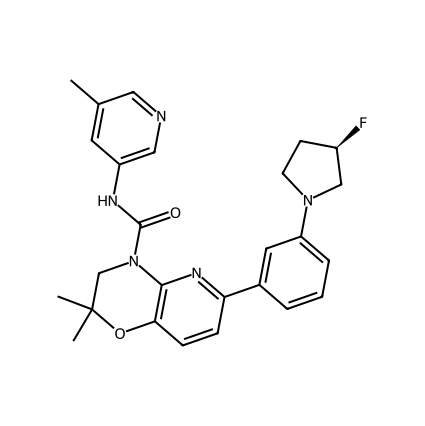 Cc1cncc(NC(=O)N2CC(C)(C)Oc3ccc(-c4cccc(N5CC[C@@H](F)C5)c4)nc32)c1